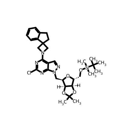 CC1(C)O[C@@H]2[C@H](O1)[C@@H](CO[Si](C)(C)C(C)(C)C)O[C@@H]2Cn1ncc2c(N3CC4(CCc5ccccc54)C3)nc(Cl)nc21